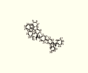 CCN(C1=CC=C2c3ccccc3C(c3ccccc3)(c3ccccc3)C2C1)c1ccc(C2C=Cc3c(c4ccccc4n3-c3ccccc3)C2)cc1